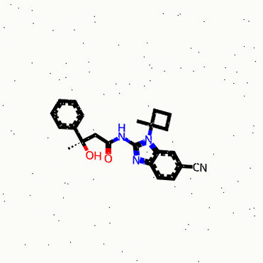 CC1(n2c(NC(=O)C[C@@](C)(O)c3ccccc3)nc3ccc(C#N)cc32)CCC1